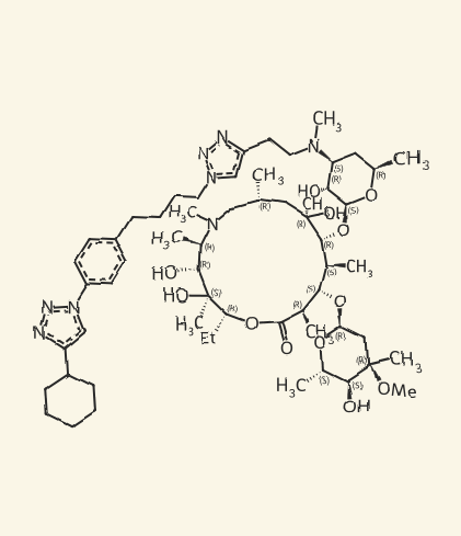 CC[C@H]1OC(=O)[C@H](C)[C@@H](O[C@H]2C[C@@](C)(OC)[C@@H](O)[C@H](C)O2)[C@H](C)[C@@H](O[C@@H]2O[C@H](C)C[C@H](N(C)CCc3cn(CCCCc4ccc(-n5cc(C6CCCCC6)nn5)cc4)nn3)[C@H]2O)[C@](C)(O)C[C@@H](C)CN(C)[C@H](C)[C@@H](O)[C@]1(C)O